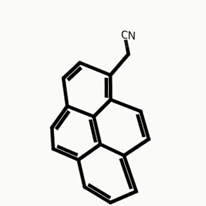 N#CCc1ccc2ccc3cccc4ccc1c2c34